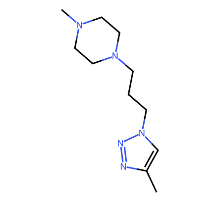 Cc1cn(CCCN2CCN(C)CC2)nn1